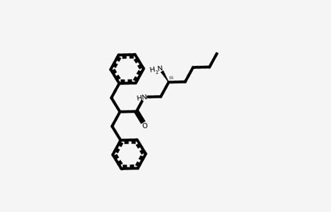 CCCC[C@H](N)CNC(=O)C(Cc1ccccc1)Cc1ccccc1